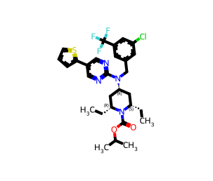 CC[C@@H]1C[C@H](N(Cc2cc(Cl)cc(C(F)(F)F)c2)c2ncc(-c3cccs3)cn2)C[C@H](CC)N1C(=O)OC(C)C